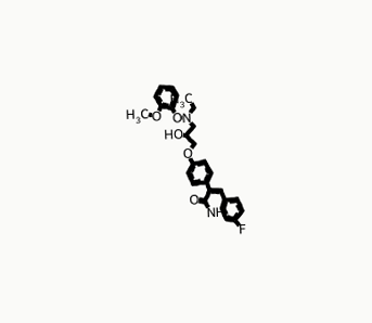 CCN(CC(O)COc1ccc(/C(=C/c2ccc(F)cc2)C(N)=O)cc1)Oc1ccccc1OC